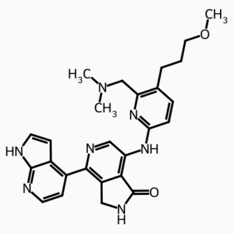 COCCCc1ccc(Nc2cnc(-c3ccnc4[nH]ccc34)c3c2C(=O)NC3)nc1CN(C)C